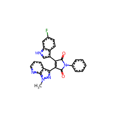 Cn1nc(C2=C(c3c[nH]c4cc(F)ccc34)C(=O)N(c3ccccc3)C2=O)c2cccnc21